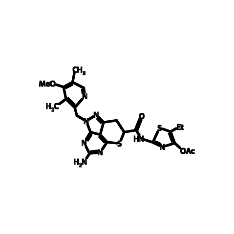 CCc1sc(NC(=O)C2Cc3nn(Cc4ncc(C)c(OC)c4C)c4nc(N)nc(c34)S2)nc1OC(C)=O